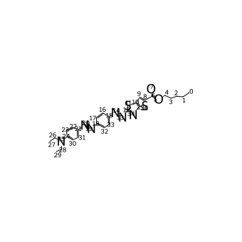 CCCCCOC(=O)c1cc2sc(N=Nc3ccc(N=Nc4ccc(N(CC)CC)cc4)cc3)nc2s1